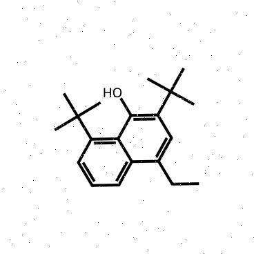 CCc1cc(C(C)(C)C)c(O)c2c(C(C)(C)C)cccc12